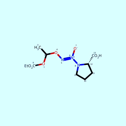 CCOC(=O)OC(C)O/N=[N+](\[O-])N1CCC[C@H]1C(=O)O